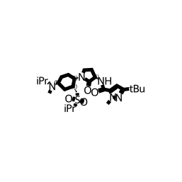 CC(C)N(C)[C@@H]1CC[C@H](N2CC[C@H](NC(=O)c3cc(C(C)(C)C)nn3C)C2=O)[C@H](CS(=O)(=O)C(C)C)C1